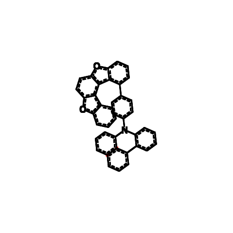 c1ccc(-c2ccccc2N(c2ccccc2)c2ccc(-c3cccc4oc5ccc6oc7ccccc7c6c5c34)cc2)cc1